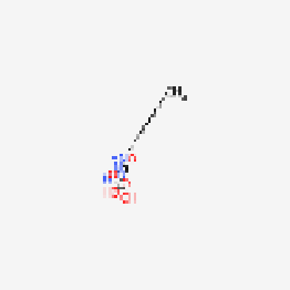 CCCCCCCCCCCCCCCCC(=O)Nc1ccn([C@@H]2O[C@H](CO)[C@@H](O)C2C#N)c(=O)n1